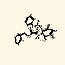 C[C@H](NP(=O)(Oc1ccccc1)Oc1c(Br)c(Br)c(Br)c(Br)c1Br)C(=O)OCc1ccccc1